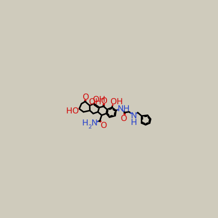 NC(=O)C1c2ccc(NC(=O)CNCc3ccccc3)c(O)c2C(=O)C2=C(O)C3(O)C(=O)CC(O)CC3CC21